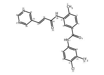 Cc1ccc(C(=O)Nc2ccc(Cl)c(C(F)(F)F)c2)cc1NC(=O)C=Cc1cncnc1